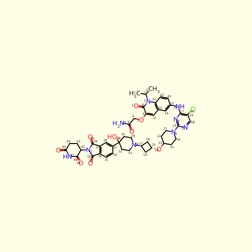 CC(C)n1c(=O)c(OCC(N)=O)cc2cc(Nc3nc(N4CCC(O[C@H]5C[C@H](N6CCC(O)(c7ccc8c(c7)C(=O)N(C7CCC(=O)NC7=O)C8=O)CC6)C5)CC4)ncc3Cl)ccc21